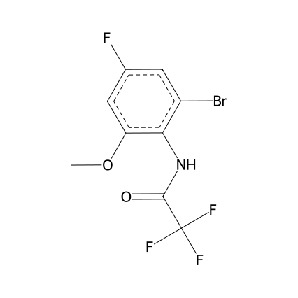 COc1cc(F)cc(Br)c1NC(=O)C(F)(F)F